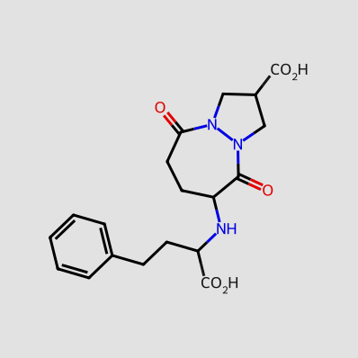 O=C(O)C1CN2C(=O)CCC(NC(CCc3ccccc3)C(=O)O)C(=O)N2C1